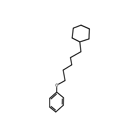 c1ccc(OCCCCCC2CCCCC2)cc1